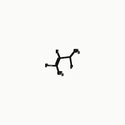 F/C(=C(\F)C(F)(F)F)C(F)C(F)(F)F